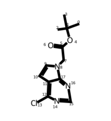 CC(C)(C)OC(=O)Cn1ccc2c(Cl)ncnc21